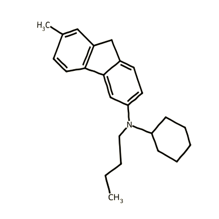 CCCCN(c1ccc2c(c1)-c1ccc(C)cc1C2)C1CCCCC1